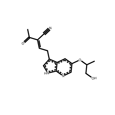 CC(=O)/C(C#N)=C/Cc1c[nH]c2ncc(OC(C)CO)cc12